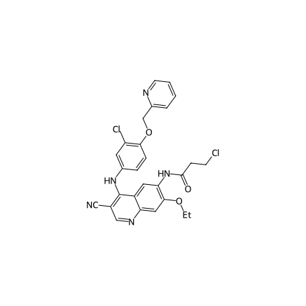 CCOc1cc2ncc(C#N)c(Nc3ccc(OCc4ccccn4)c(Cl)c3)c2cc1NC(=O)CCCl